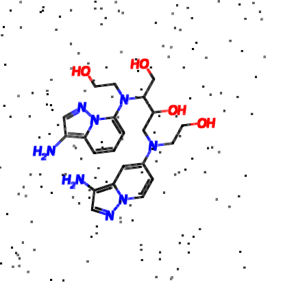 Nc1cnn2ccc(N(CCO)CC(O)C(CO)N(CCO)c3cccc4c(N)cnn34)cc12